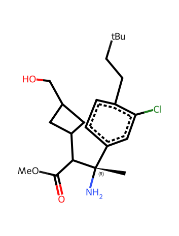 COC(=O)C(C1CC(CO)C1)[C@@](C)(N)c1ccc(CCC(C)(C)C)c(Cl)c1